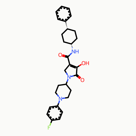 O=C(N[C@H]1CC[C@@H](c2ccccc2)CC1)C1=C(O)C(=O)N(C2CCN(c3ccc(F)cc3)CC2)C1